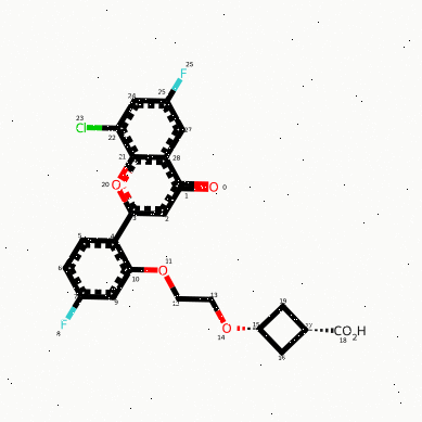 O=c1cc(-c2ccc(F)cc2OCCO[C@H]2C[C@@H](C(=O)O)C2)oc2c(Cl)cc(F)cc12